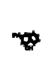 CC(C)N1C=C(O)c2ccccc2S1